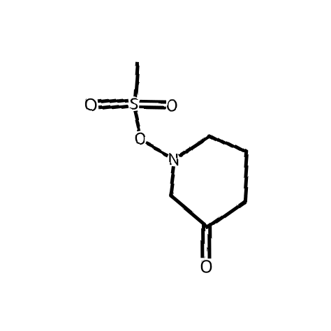 CS(=O)(=O)ON1CCCC(=O)C1